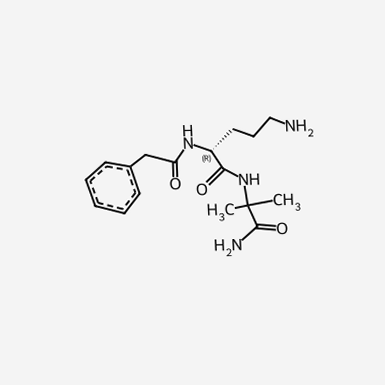 CC(C)(NC(=O)[C@@H](CCCN)NC(=O)Cc1ccccc1)C(N)=O